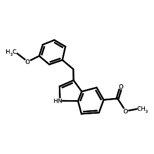 COC(=O)c1ccc2[nH]cc(Cc3cccc(OC)c3)c2c1